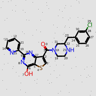 O=C(c1csc2c(O)nc(-c3ccccn3)nc12)N1CCNC(Cc2cccc(Cl)c2)C1